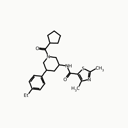 CCc1ccc(C2CC(NC(=O)c3sc(C)nc3C)CN(C(=O)C3CCCC3)C2)cc1